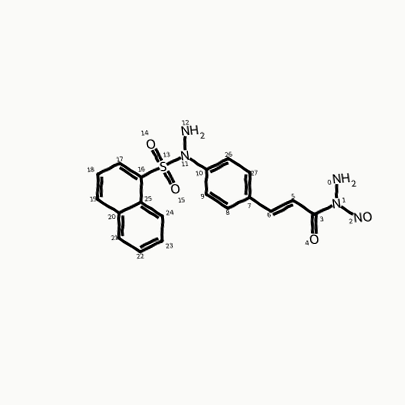 NN(N=O)C(=O)/C=C/c1ccc(N(N)S(=O)(=O)c2cccc3ccccc23)cc1